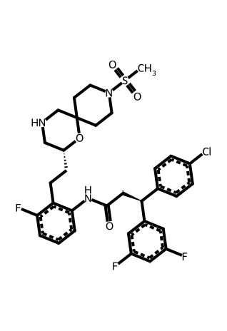 CS(=O)(=O)N1CCC2(CC1)CNC[C@@H](CCc1c(F)cccc1NC(=O)[CH][C@@H](c1ccc(Cl)cc1)c1cc(F)cc(F)c1)O2